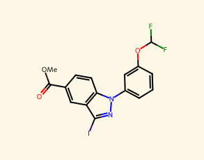 COC(=O)c1ccc2c(c1)c(I)nn2-c1cccc(OC(F)F)c1